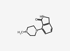 CN1CCN(c2cccc3c2C(=O)NC3)CC1